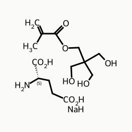 C=C(C)C(=O)OCC(CO)(CO)CO.N[C@@H](CCC(=O)O)C(=O)O.[NaH]